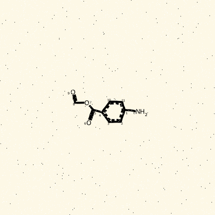 Nc1ccc(C(=O)OC=O)cc1